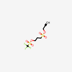 C#CCOS(=O)(=O)CCCOS(=O)(=O)C(F)(F)F